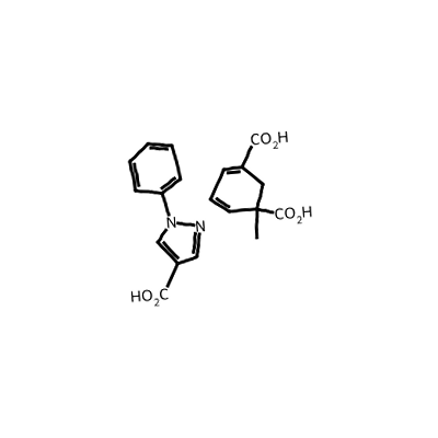 CC1(C(=O)O)C=CC=C(C(=O)O)C1.O=C(O)c1cnn(-c2ccccc2)c1